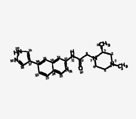 C[C@H]1CN(C)CCN1CC(=O)Nc1cc2cc(-c3cn[nH]c3)ccc2cn1